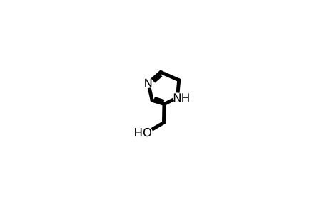 OCC1=CN=CCN1